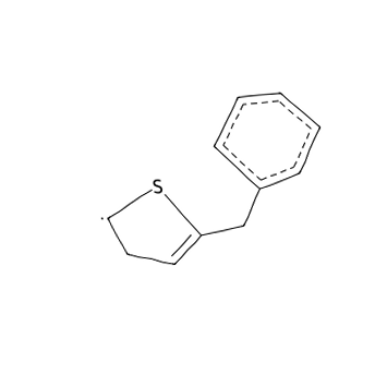 [CH]1CC=C(Cc2ccccc2)S1